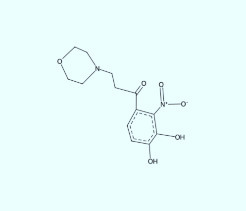 O=C(CCN1CCOCC1)c1ccc(O)c(O)c1[N+](=O)[O-]